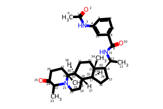 CC(=O)Nc1cccc(C(=O)NC(C)[C@H]2CC[C@H]3[C@@H]4CCN5C(C)C(=O)CC[C@]5(C)[C@H]4CC[C@]23C)c1